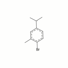 C[C](C)c1ccc(Br)c(C)c1